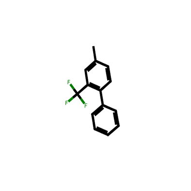 Cc1ccc(-c2cc[c]cc2)c(C(F)(F)F)c1